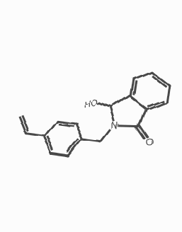 C=Cc1ccc(CN2C(=O)c3ccccc3C2O)cc1